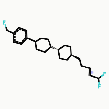 FCc1ccc(C2CCC([C@H]3CC[C@H](CC/C=C/C(F)F)CC3)CC2)cc1